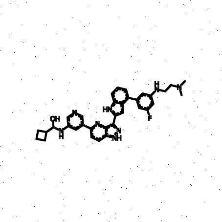 CN(C)CCNc1cc(F)cc(-c2cccc3[nH]c(-c4n[nH]c5ccc(-c6cncc(NC(O)C7CCC7)c6)nc45)cc23)c1